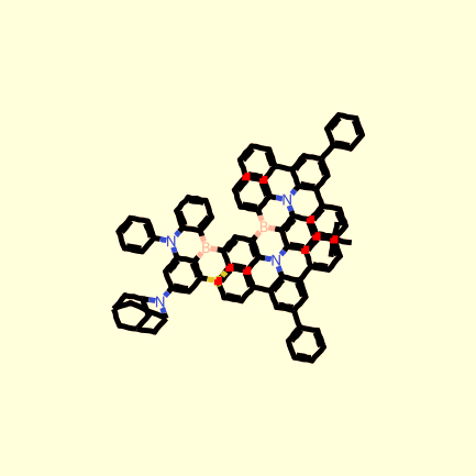 CC(C)(C)c1cc2c3c(c1)N(c1c(-c4ccccc4)cc(-c4ccccc4)cc1-c1ccccc1)c1cc4c(cc1B3c1ccccc1N2c1c(-c2ccccc2)cc(-c2ccccc2)cc1-c1ccccc1)B1c2ccccc2N(c2ccccc2)c2cc(N3C5CC6CC(C5)CC3C6)cc(c21)S4